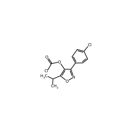 CC(C)c1onc(-c2ccc(Cl)cc2)c1OC(=O)Cl